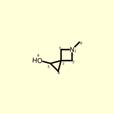 CN1CC2(CC2O)C1